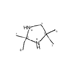 CC1(C)CNC(C)(C)N1